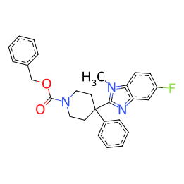 Cn1c(C2(c3ccccc3)CCN(C(=O)OCc3ccccc3)CC2)nc2cc(F)ccc21